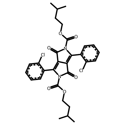 CC(C)CCOC(=O)N1C(=O)C2=C(c3ccccc3Cl)N(C(=O)OCCC(C)C)C(=O)C2=C1c1ccccc1Cl